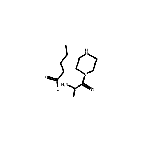 CC(N)C(=O)N1CCNCC1.CCCCC(=O)O